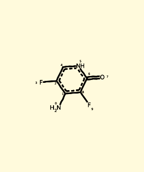 Nc1c(F)c[nH]c(=O)c1F